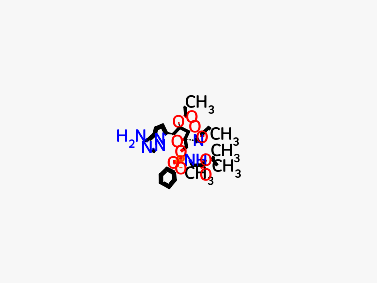 CCC(=O)O[C@H]1[C@H](c2ccc3c(N)ncnn23)O[C@](C#N)(COP(=O)(N[C@@H](C)C(=O)OC(C)C)Oc2ccccc2)[C@H]1OC(=O)CC